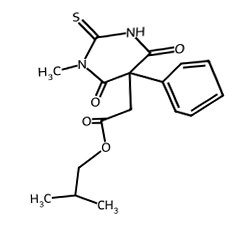 CC(C)COC(=O)CC1(c2ccccc2)C(=O)NC(=S)N(C)C1=O